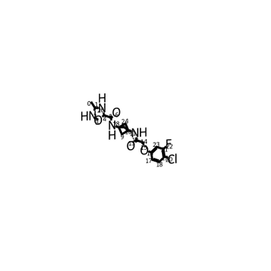 CC1NOC(C(=O)NC23CC(NC(=O)COc4ccc(Cl)c(F)c4)(C2)C3)N1